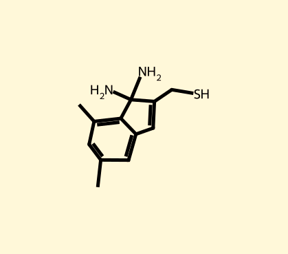 Cc1cc(C)c2c(c1)C=C(CS)C2(N)N